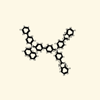 c1ccc(-c2ccc(N(c3ccc(-c4ccc(N(c5ccc(-c6nc7ccccc7s6)cc5)c5ccc(-c6nc7ccccc7s6)cc5)cc4)cc3)c3cccc4ccccc34)cc2)cc1